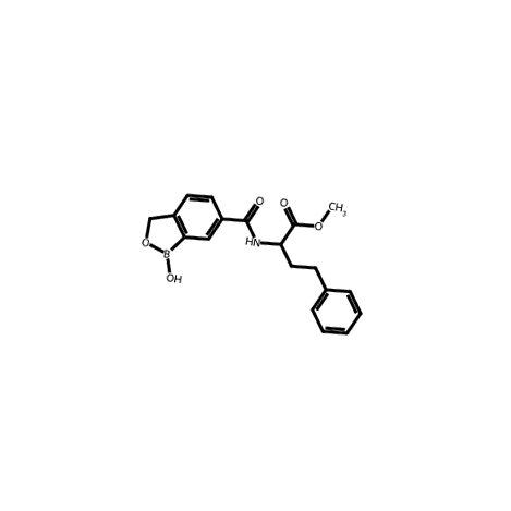 COC(=O)C(CCc1ccccc1)NC(=O)c1ccc2c(c1)B(O)OC2